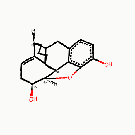 Oc1ccc2c3c1O[C@H]1[C@@H](O)CC=C4[C@@H]5CCCC(C5C2)[C@]431